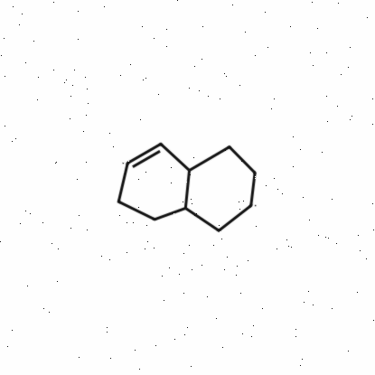 [C]1=CC2CC[CH]CC2CC1